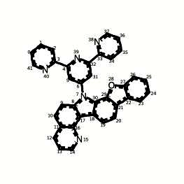 c1ccc(-c2cc(-n3c4ccc5cccnc5c4c4ccc5c6ccccc6oc5c43)cc(-c3ccccn3)n2)nc1